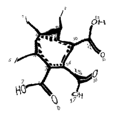 O=C(O)c1c(I)c(I)c(I)c(C(=O)O)c1C(=O)O